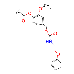 COc1cc(COC(=O)NCCOc2ccccc2)ccc1OC(C)=O